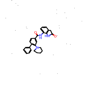 O=C1Cc2cccc(NC(=O)c3ccc(-c4ccccc4)c(N4CCCCC4)c3)c2N1